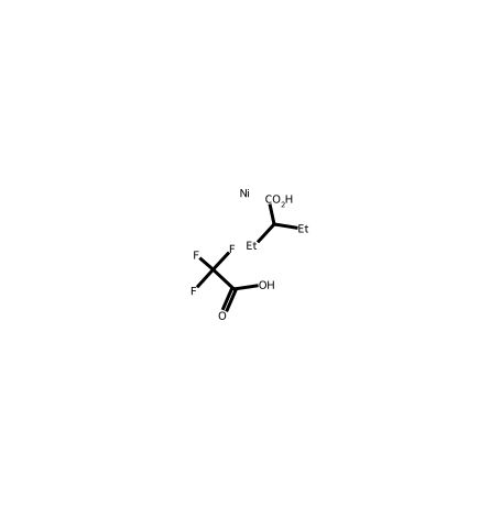 CCC(CC)C(=O)O.O=C(O)C(F)(F)F.[Ni]